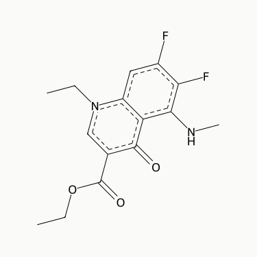 CCOC(=O)c1cn(CC)c2cc(F)c(F)c(NC)c2c1=O